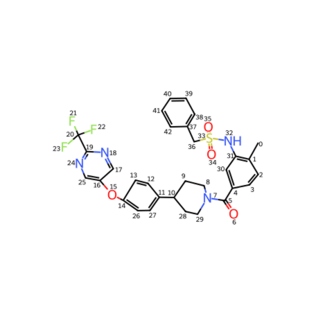 Cc1ccc(C(=O)N2CCC(c3ccc(Oc4cnc(C(F)(F)F)nc4)cc3)CC2)cc1NS(=O)(=O)Cc1ccccc1